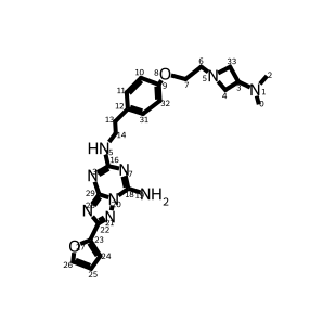 CN(C)C1CN(CCOc2ccc(CCNc3nc(N)n4nc(-c5ccco5)nc4n3)cc2)C1